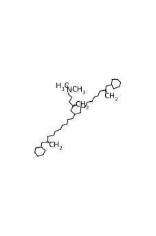 C=C(CCCCCCCCC(CCCCCCCCC(=C)CC1CCCCC1)CC(=C)CCCN(C)C)CC1CCCCC1